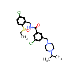 CC[S+]([O-])c1ccc(Cl)cc1CNC(=O)c1cc(Cl)cc(CN2CCN(C(C)C)CC2)c1